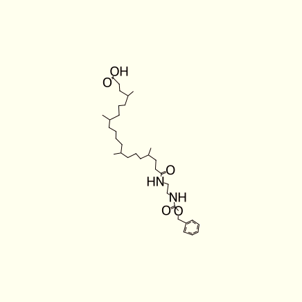 CC(CCCCC(C)CCCC(C)CCC(=O)NCCNC(=O)OCc1ccccc1)CCCC(C)CCC(=O)O